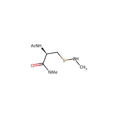 CBSC[C@H](NC(C)=O)C(=O)NC